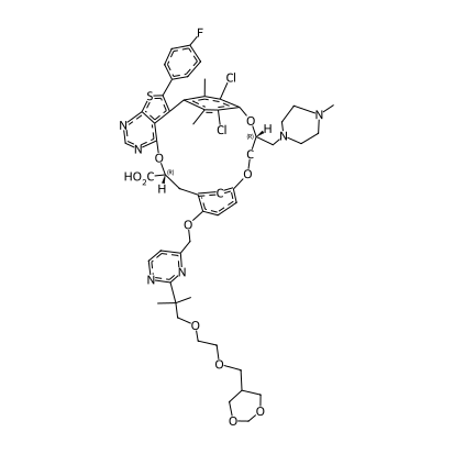 Cc1c(Cl)c2c(Cl)c(C)c1-c1c(-c3ccc(F)cc3)sc3ncnc(c13)O[C@@H](C(=O)O)Cc1cc(ccc1OCc1ccnc(C(C)(C)COCCOCC3COCOC3)n1)OC[C@@H](CN1CCN(C)CC1)O2